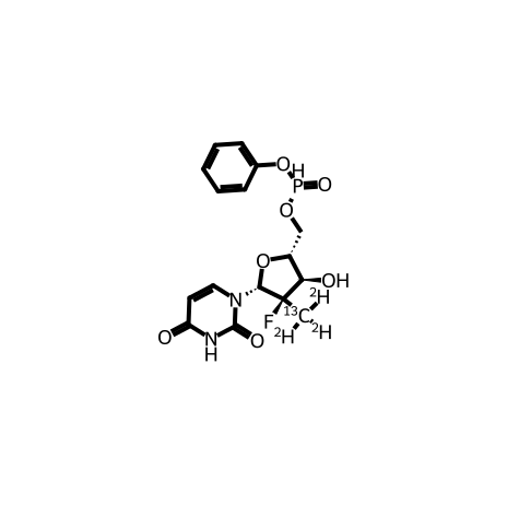 [2H][13C]([2H])([2H])[C@@]1(F)[C@H](O)[C@@H](CO[PH](=O)Oc2ccccc2)O[C@H]1n1ccc(=O)[nH]c1=O